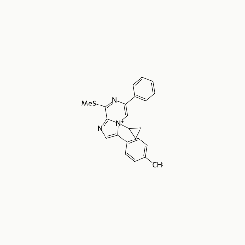 [CH]c1ccc(C2=CN=C3C(SC)=NC(c4ccccc4)=C[N+]23C2CC2)cc1